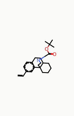 C=Cc1ccc2c(c1)C13CCCCC1C(C2)N(C(=O)OC(C)(C)C)CC3